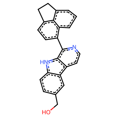 OCc1ccc2[nH]c3c(-c4ccc5c6c(cccc46)CC5)nccc3c2c1